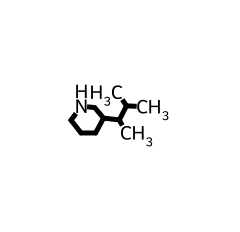 CC(C)C(C)C1CCCNC1